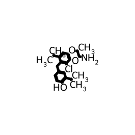 CC(Oc1cc(Cl)c(Cc2ccc(O)c(C(C)C)c2)c(C(C)C)c1)C(N)=O